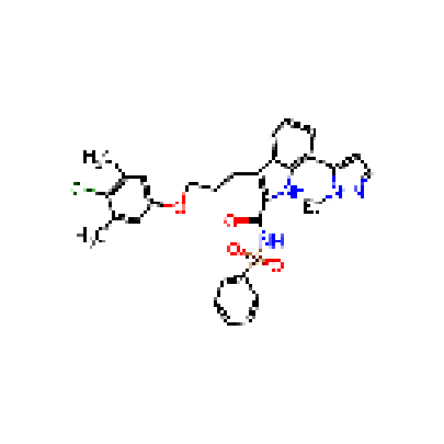 CCn1nccc1-c1cccc2c(CCCOc3cc(C)c(Cl)c(C)c3)c(C(=O)NS(=O)(=O)c3ccccc3)[nH]c12